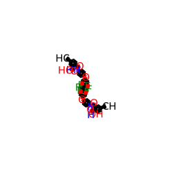 C#Cc1ccc(C(=O)Nc2ccc(Oc3ccc(C(c4ccc(Oc5ccc(NC(=O)c6cc(C#C)ccc6C(=O)O)cc5)cc4)(C(F)(F)F)C(F)(F)F)cc3)cc2)c(C(=O)O)c1